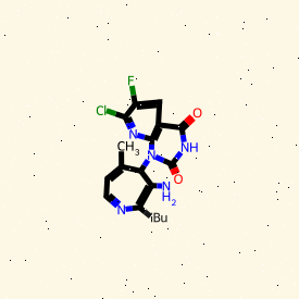 CCC(C)C1=C(N)C(n2c(=O)[nH]c(=O)c3cc(F)c(Cl)nc32)C(C)=CC=N1